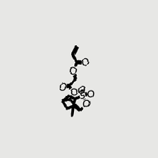 C=CC(=O)OCC(=O)OC1C2CC3C(C)(C2)C1OS3(=O)=O